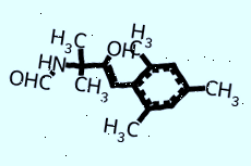 Cc1cc(C)c(/C=C(\O)C(C)(C)NC=O)c(C)c1